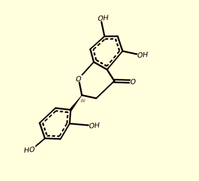 O=C1C[C@@H](c2ccc(O)cc2O)Oc2cc(O)cc(O)c21